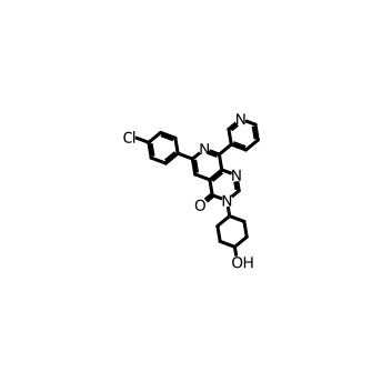 O=c1c2cc(-c3ccc(Cl)cc3)nc(-c3cccnc3)c2ncn1C1CCC(O)CC1